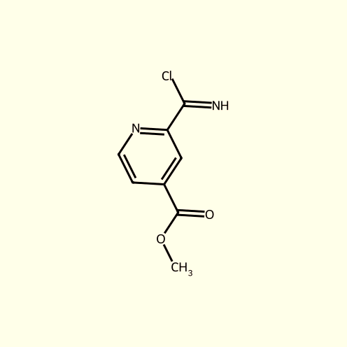 COC(=O)c1ccnc(C(=N)Cl)c1